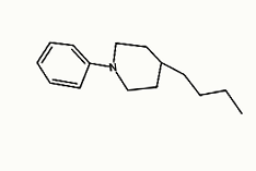 CCCCC1CCN(c2ccccc2)CC1